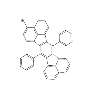 Brc1ccc2c3c(-c4ccccc4)c4c5cccc6cccc(c4c(-c4ccccc4)c3c3cccc1c32)c65